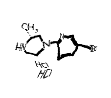 C[C@@H]1CN(c2ccc(Br)cn2)CCN1.Cl.Cl